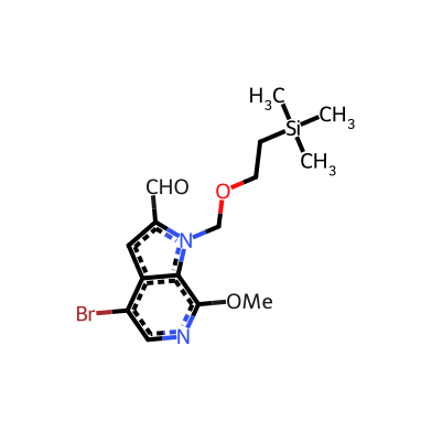 COc1ncc(Br)c2cc(C=O)n(COCC[Si](C)(C)C)c12